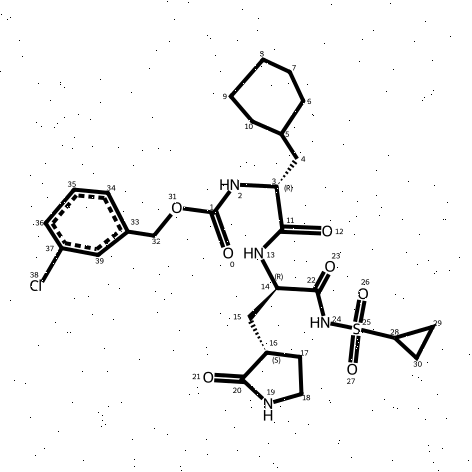 O=C(N[C@H](CC1CCCCC1)C(=O)N[C@H](C[C@@H]1CCNC1=O)C(=O)NS(=O)(=O)C1CC1)OCc1cccc(Cl)c1